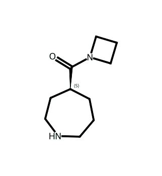 O=C([C@H]1CCCNCC1)N1CCC1